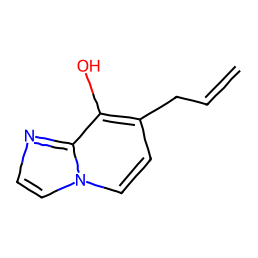 C=CCc1ccn2ccnc2c1O